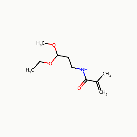 C=C(C)C(=O)NCCC(OC)OCC